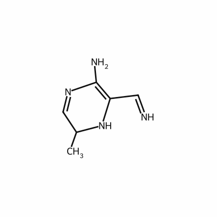 CC1C=NC(N)=C(C=N)N1